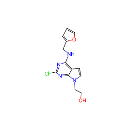 OCCn1ccc2c(NCc3ccco3)nc(Cl)nc21